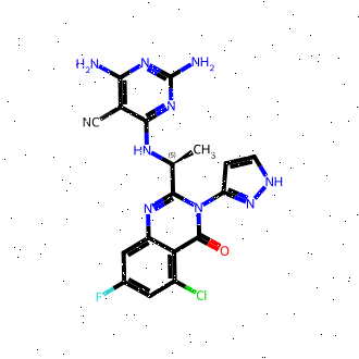 C[C@H](Nc1nc(N)nc(N)c1C#N)c1nc2cc(F)cc(Cl)c2c(=O)n1-c1cc[nH]n1